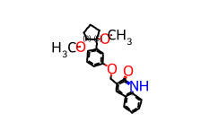 CO[C@@H]1CCC[C@]1(OC)c1cccc(OCc2cc3ccccc3[nH]c2=O)c1